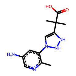 Cc1ncc(N)cc1N1C=C(C(C)(C)C(=O)O)NN1